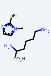 CCCc1nccn1C.NCCCCC(N)C(=O)O